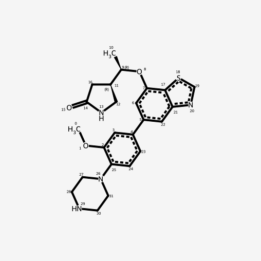 COc1cc(-c2cc(O[C@H](C)[C@H]3CNC(=O)C3)c3scnc3c2)ccc1N1CCNCC1